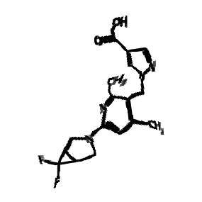 Cc1cc(N2CC3C(C2)C3(F)F)nc(C)c1Cn1cc(C(=O)O)cn1